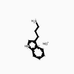 Cl.NCCCc1c[nH]c2ccccc12